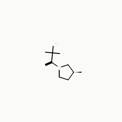 CC(C)(C(=O)N1CC[C@H](F)C1)C(F)(F)F